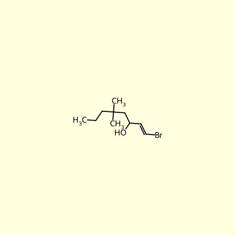 CCCC(C)(C)CC(O)/C=C/Br